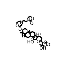 CCO[C@@H](C1C[C@@H](C)[C@H]2C(O1)[C@H](O)[C@@]1(C)C3CC[C@H]4C(C)(C)[C@@H](O[C@H]5CN(CCN6CCOC6=O)CCO5)CC[C@@]45CC35CC[C@]21C)C(C)(C)O